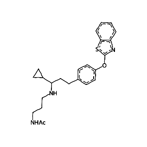 CC(=O)NCCCNC(CCc1ccc(Oc2nc3ccccc3s2)cc1)C1CC1